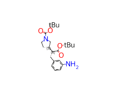 CC(C)(C)OC(=O)[C@H](Cc1cccc(N)c1)[C@@H]1CCN(C(=O)OC(C)(C)C)C1